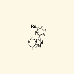 CCc1nnc(-c2cccc(Br)n2)n1CC